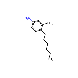 CCCCCCc1ccc(N)cc1C